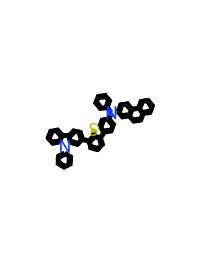 c1ccc(N(c2ccc3c(ccc4ccccc43)c2)c2ccc3c(c2)sc2c(-c4ccc5c6ccccc6n(-c6ccccc6)c5c4)cccc23)cc1